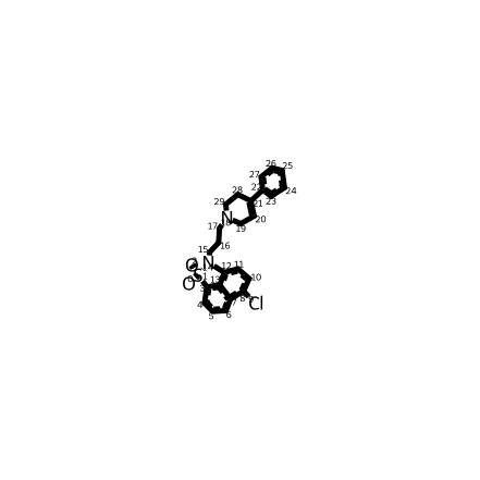 O=S1(=O)c2cccc3c(Cl)ccc(c23)N1CCCN1CC=C(c2ccccc2)CC1